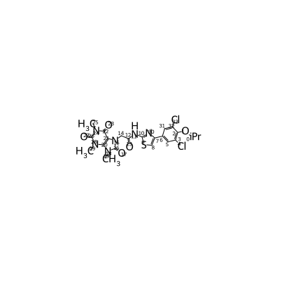 CC(C)Oc1c(Cl)cc(-c2csc(NC(=O)Cn3c(=O)n(C)c4c3c(=O)n(C)c(=O)n4C)n2)cc1Cl